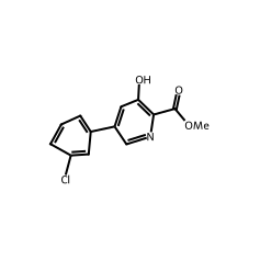 COC(=O)c1ncc(-c2cccc(Cl)c2)cc1O